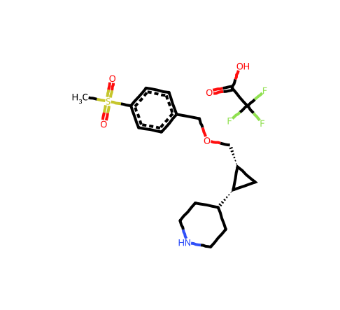 CS(=O)(=O)c1ccc(COC[C@@H]2C[C@@H]2C2CCNCC2)cc1.O=C(O)C(F)(F)F